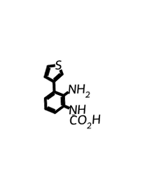 Nc1c(NC(=O)O)cccc1-c1ccsc1